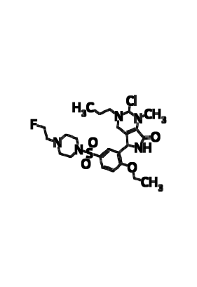 CCCN1CC2=C(C(=O)NC2c2cc(S(=O)(=O)N3CCN(CCF)CC3)ccc2OCC)N(C)C1Cl